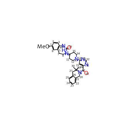 COc1ccc2c(c1)CCN(C1CCN(c3cc(C(=O)N4Cc5ccccc5CC4(C)C)ncn3)CC1)C(=O)N2